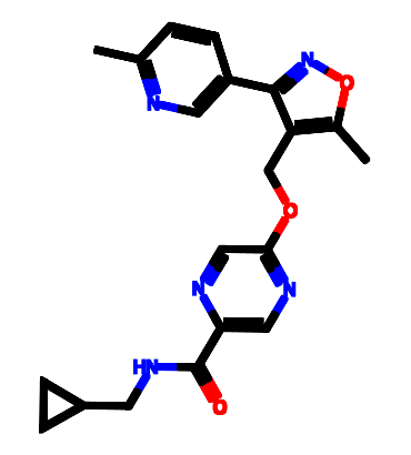 Cc1ccc(-c2noc(C)c2COc2cnc(C(=O)NCC3CC3)cn2)cn1